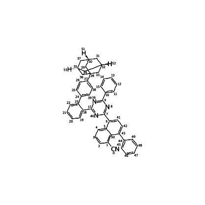 N#Cc1cccc2c(-c3nc(-c4ccccc4)nc(-c4ccccc4-c4ccc(C56C[C@H]7C[C@H](C5)C[C@@H](C6)C7)cc4)n3)ccc(-c3ccccc3)c12